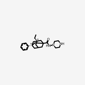 CC[C@]12CC3CC(C(=O)NN4CCNCC4)(C1)C[C@@](c1ccccc1)(C3)C2